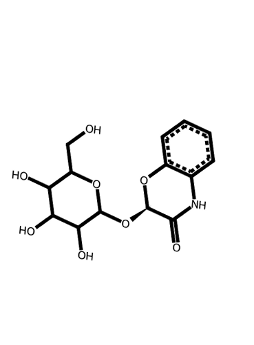 O=C1Nc2ccccc2O[C@@H]1OC1OC(CO)C(O)C(O)C1O